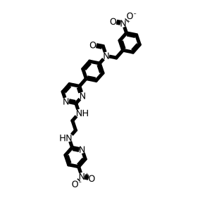 O=CN(Cc1cccc([N+](=O)[O-])c1)c1ccc(-c2ccnc(NCCNc3ccc([N+](=O)[O-])cn3)n2)cc1